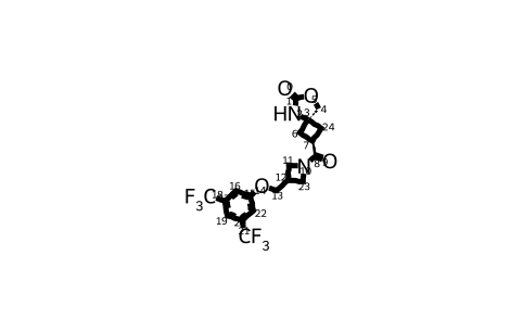 O=C1N[C@]2(CO1)C[C@H](C(=O)N1CC(COc3cc(C(F)(F)F)cc(C(F)(F)F)c3)C1)C2